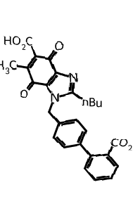 CCCCc1nc2c(n1Cc1ccc(-c3ccccc3C(=O)O)cc1)C(=O)C(C)=C(C(=O)O)C2=O